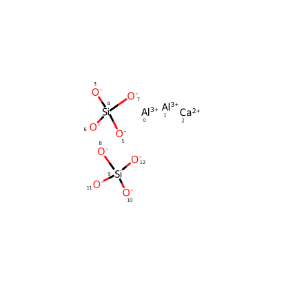 [Al+3].[Al+3].[Ca+2].[O-][Si]([O-])([O-])[O-].[O-][Si]([O-])([O-])[O-]